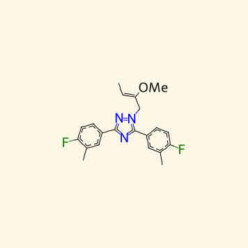 CC=C(Cn1nc(-c2ccc(F)c(C)c2)nc1-c1ccc(F)c(C)c1)OC